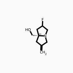 C=C1CN2CC(F)C[C@]2(CO)C1